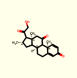 C[C@H]1CC2[C@@H]3CCC4=CC(=O)C=C[C@]4(C)C3C(=O)C[C@]2(C)C1C(=O)CO